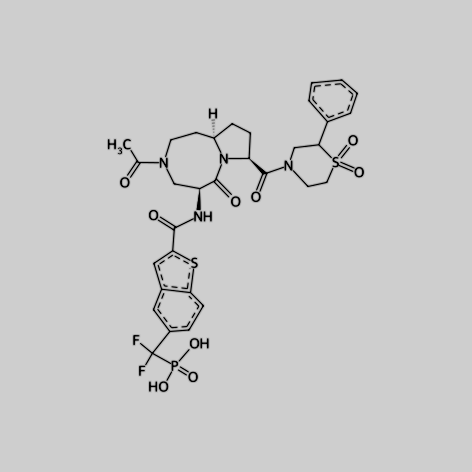 CC(=O)N1CC[C@H]2CC[C@@H](C(=O)N3CCS(=O)(=O)C(c4ccccc4)C3)N2C(=O)[C@@H](NC(=O)c2cc3cc(C(F)(F)P(=O)(O)O)ccc3s2)C1